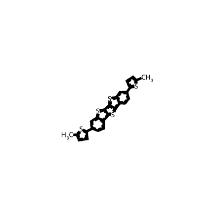 Cc1ccc(-c2ccc3c(c2)sc2c3sc3c4ccc(-c5ccc(C)s5)cc4sc32)s1